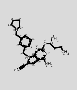 CCC[C@@H](C)Oc1nc(N)c2cc(C#N)n(Cc3cccc(CN4CCCC4)c3)c2n1